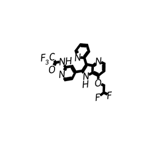 O=C(Nc1cc(-c2[nH]c3c(OCC(F)F)ccnc3c2-c2ccccn2)ccn1)C(F)(F)F